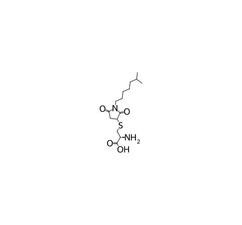 CC(C)CCCCCN1C(=O)CC(SC[C@@H](N)C(=O)O)C1=O